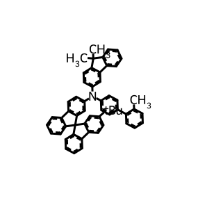 Cc1ccccc1-c1ccc(N(c2ccc3c(c2)-c2ccccc2C3(C)C)c2ccc3c(c2)C2(c4ccccc4-3)c3ccccc3-c3ccc(C(C)(C)C)cc32)cc1